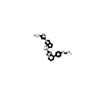 Cc1cc(N2CC3CC[C@@H](Nc4nc5n(n4)CCCC5c4ccc(OCC(F)(F)F)cc4)[C@@H]3C2)sn1